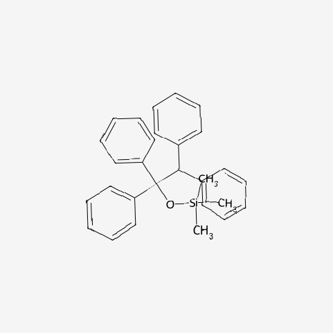 C[Si](C)(C)OC(c1ccccc1)(c1ccccc1)C(c1ccccc1)c1ccccc1